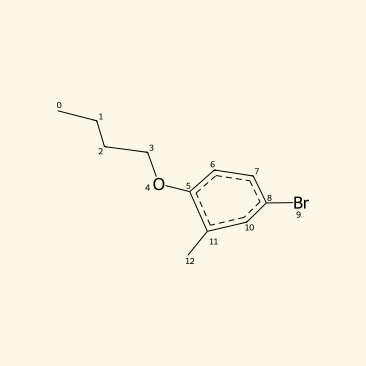 CCCCOc1ccc(Br)cc1C